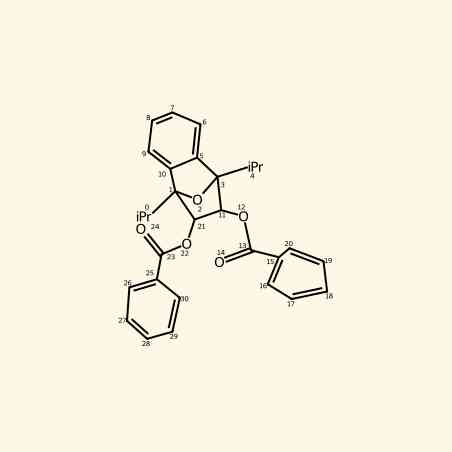 CC(C)C12OC(C(C)C)(c3ccccc31)C(OC(=O)c1ccccc1)C2OC(=O)c1ccccc1